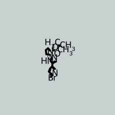 CC(C)(C)OC(=O)N1CCC[C@H]1c1ncc(-c2ccc(Br)nc2)[nH]1